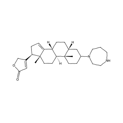 C[C@]12CCC(N3CCCNCC3)C[C@H]1CC[C@H]1C3=CC[C@H](C4=CC(=O)OC4)[C@@]3(C)CC[C@@H]12